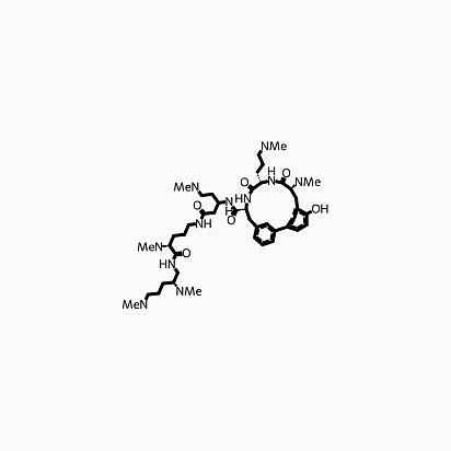 CNCCC[C@@H](CNC(=O)[C@H](CCCNC(=O)CC(CCNC)NC(=O)[C@@H]1Cc2cccc(c2)-c2ccc(O)c(c2)C[C@H](NC)C(=O)N[C@@H](CCCNC)C(=O)N1)NC)NC